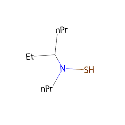 CCCC(CC)N(S)CCC